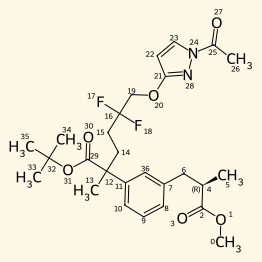 COC(=O)[C@H](C)Cc1cccc(C(C)(CCC(F)(F)COc2ccn(C(C)=O)n2)C(=O)OC(C)(C)C)c1